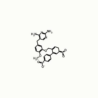 COc1ccc(Cc2cnc(N)nc2N)cc1OCC1=CCC(=S(=O)=O)C=C1c1ccc([N+](=O)[O-])cc1